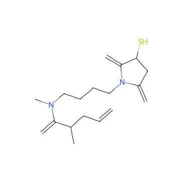 C=CCC(C)C(=C)N(C)CCCCN1C(=C)CC(S)C1=C